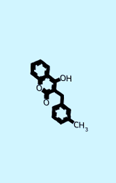 Cc1[c]ccc(Cc2c(O)c3ccccc3oc2=O)c1